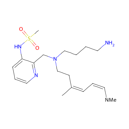 CN/C=C\C=C(\C)CCN(CCCCN)Cc1ncccc1NS(C)(=O)=O